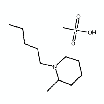 CCCCCN1CCCCC1C.CS(=O)(=O)O